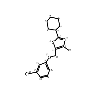 Cc1nc(C2CCCCC2)sc1COc1[c]c(Cl)ccc1